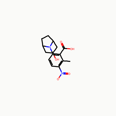 Cc1c([N+](=O)[O-])ccc(N2C3CCC2CC(O)C3)c1C(=O)O